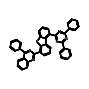 c1ccc(-c2nc(-c3ccccc3)nc(-c3cccc4sc5c(-c6nc(-c7ccccc7)c7ccccc7n6)cccc5c34)n2)cc1